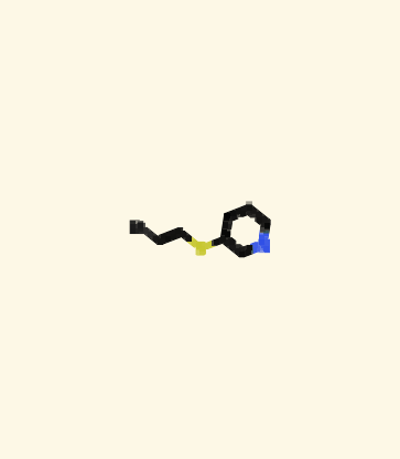 CCC=CSc1c[c]cnc1